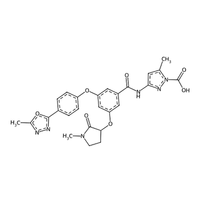 Cc1nnc(-c2ccc(Oc3cc(OC4CCN(C)C4=O)cc(C(=O)Nc4cc(C)n(C(=O)O)n4)c3)cc2)o1